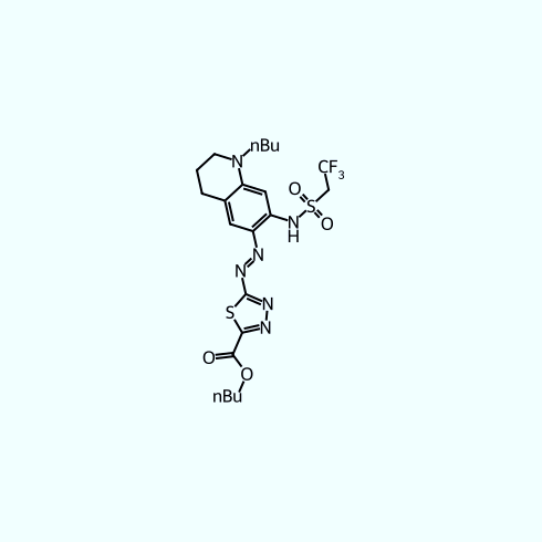 CCCCOC(=O)c1nnc(N=Nc2cc3c(cc2NS(=O)(=O)CC(F)(F)F)N(CCCC)CCC3)s1